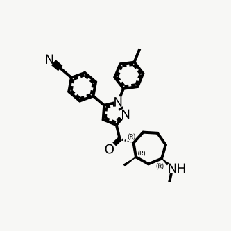 CN[C@@H]1CCC[C@@H](C(=O)c2cc(-c3ccc(C#N)cc3)n(-c3ccc(C)cc3)n2)[C@H](C)C1